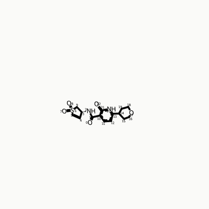 O=C(N[C@@H]1C=CS(=O)(=O)C1)c1ccc(C2CCOCC2)[nH]c1=O